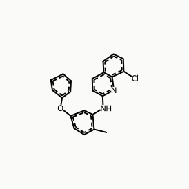 Cc1ccc(Oc2ccccc2)cc1Nc1ccc2cccc(Cl)c2n1